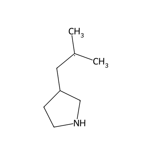 C[C](C)CC1CCNC1